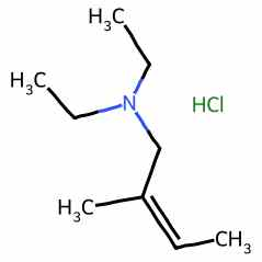 CC=C(C)CN(CC)CC.Cl